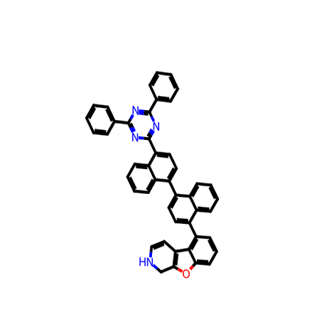 C1=Cc2c(oc3cccc(-c4ccc(-c5ccc(-c6nc(-c7ccccc7)nc(-c7ccccc7)n6)c6ccccc56)c5ccccc45)c23)CN1